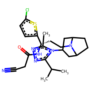 Cc1nnc(C(C)C)n1C1CC2CCC(C1)N2CC[C@H](NC(=O)CC#N)c1ccc(Cl)s1